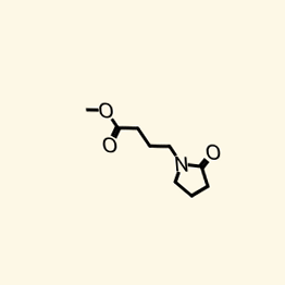 COC(=O)CCCN1CCCC1=O